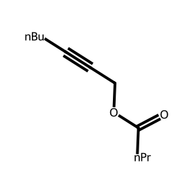 CCCCC#CCOC(=O)CCC